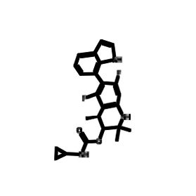 C[C@H]1c2c(cc(F)c(-c3cccc4cc[nH]c34)c2F)NC(C)(C)C1OC(=O)NC1CC1